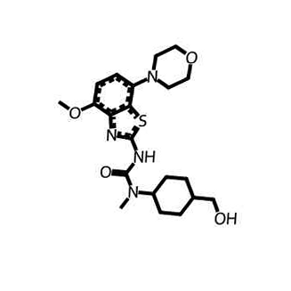 COc1ccc(N2CCOCC2)c2sc(NC(=O)N(C)C3CCC(CO)CC3)nc12